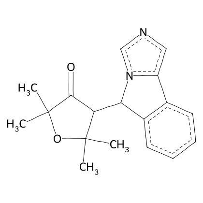 CC1(C)OC(C)(C)C(C2c3ccccc3-c3cncn32)C1=O